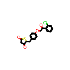 O=C1CC(=O)C(Cc2ccc(OCC(=O)c3ccccc3Cl)cc2)S1